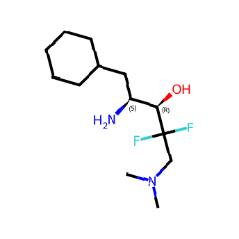 CN(C)CC(F)(F)[C@H](O)[C@@H](N)CC1CCCCC1